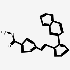 COC(=O)c1ccc(C=Cc2ccccc2-c2ccc3ccccc3c2)cc1